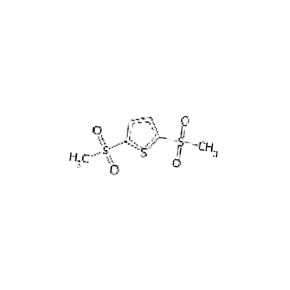 CS(=O)(=O)c1ccc(S(C)(=O)=O)s1